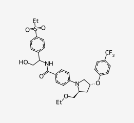 CCOC[C@@H]1C[C@@H](Oc2ccc(C(F)(F)F)cc2)CN1c1ccc(C(=O)NC(CO)c2ccc(S(=O)(=O)CC)cc2)cc1